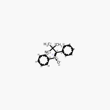 CC(C)(C#N)/C(c1ccccc1)=[N+](/[O-])c1ccccc1